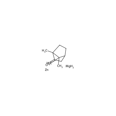 CC12CCC(CC1=O)C2(C)C.[MgH2].[Zn]